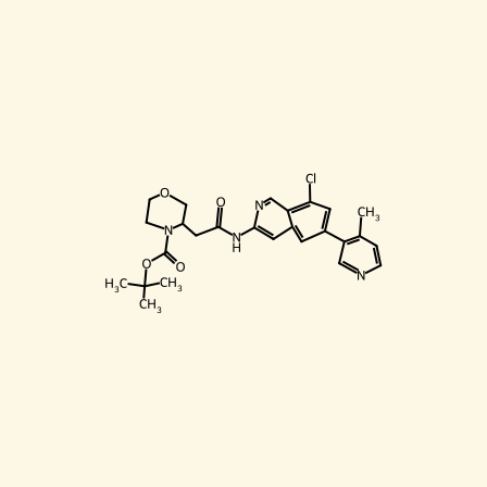 Cc1ccncc1-c1cc(Cl)c2cnc(NC(=O)CC3COCCN3C(=O)OC(C)(C)C)cc2c1